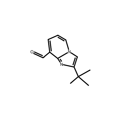 CC(C)(C)c1cn2cccc([C]=O)c2n1